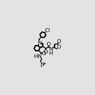 CN(C)CCNC(=O)c1cccc2c1c(C(=O)C(=O)NC1=CC(=O)OC1)cn2Cc1ccc(Cl)cc1